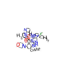 COc1cc(N2CCOCC2)ccc1Nc1ncc(C(C)(C)F)c(NCc2cccnc2N(C)S(C)(=O)=O)n1